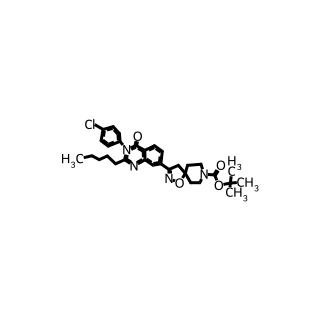 CCCCCc1nc2cc(C3=NOC4(CCN(C(=O)OC(C)(C)C)CC4)C3)ccc2c(=O)n1-c1ccc(Cl)cc1